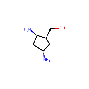 N[C@H]1C[C@H](CO)[C@H](N)C1